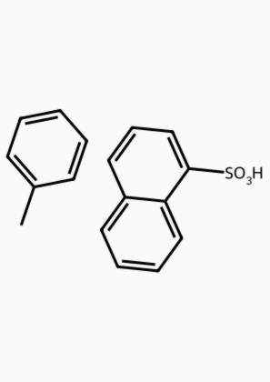 Cc1ccccc1.O=S(=O)(O)c1cccc2ccccc12